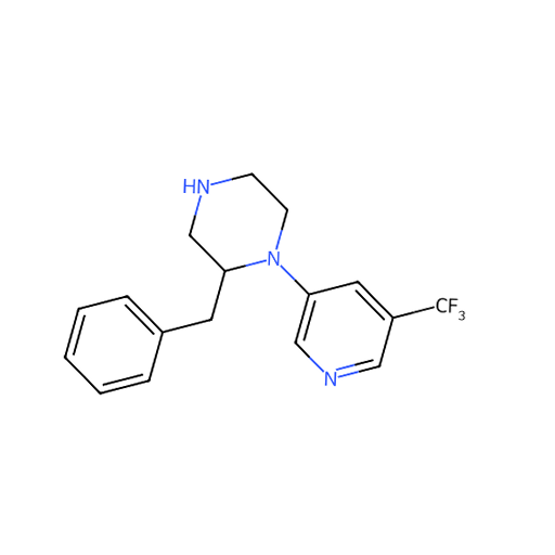 FC(F)(F)c1cncc(N2CCNCC2Cc2ccccc2)c1